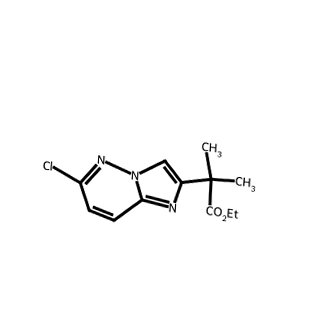 CCOC(=O)C(C)(C)c1cn2nc(Cl)ccc2n1